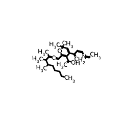 C=C(O)C1=C(C=C=C(C)C(C)C(C)CCCCC)OC(C)(C)C=C1C(=C)/C=C\N=C/C